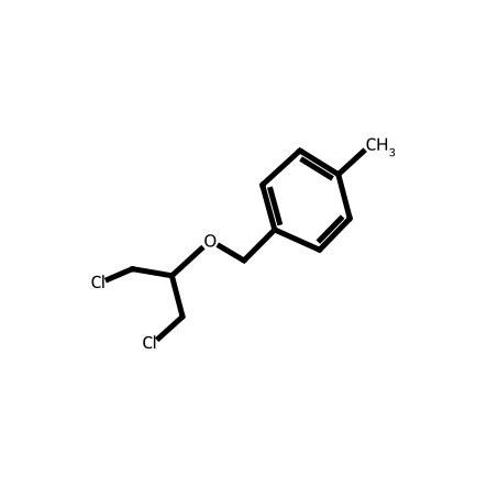 Cc1ccc(COC(CCl)CCl)cc1